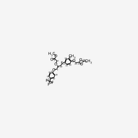 COC(=O)COC(COc1ccc(C(F)(F)F)cc1)CSc1ccc(OCC2OC(C)O2)c(C)c1